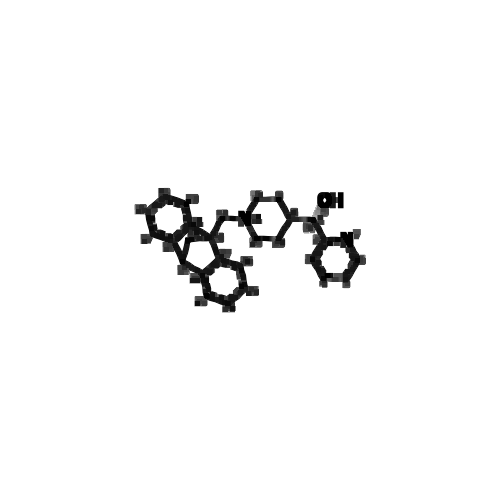 O[C@H](c1ccccn1)C1CCN(CC23CC(c4ccccc42)c2ccccc23)CC1